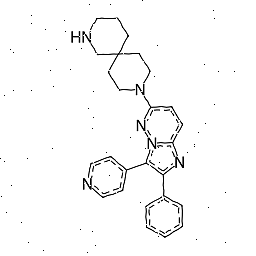 c1ccc(-c2nc3ccc(N4CCC5(CCCNC5)CC4)nn3c2-c2ccncc2)cc1